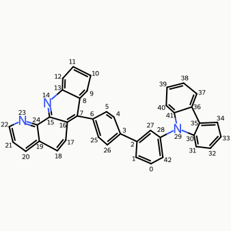 c1cc(-c2ccc(-c3c4ccccc4nc4c3ccc3cccnc34)cc2)cc(-n2c3ccccc3c3ccccc32)c1